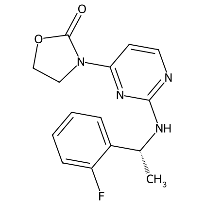 C[C@@H](Nc1nccc(N2CCOC2=O)n1)c1ccccc1F